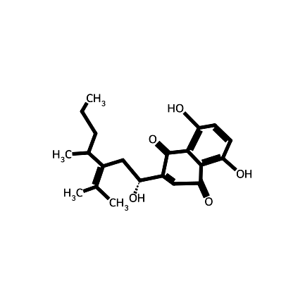 CCCC(C)C(C[C@@H](O)C1=CC(=O)c2c(O)ccc(O)c2C1=O)=C(C)C